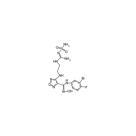 N/C(=N\S(N)(=O)=O)NCCNc1nonc1/C(=N/O)Nc1ccc(F)c(Br)c1